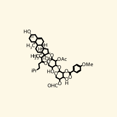 COc1ccc(C(=O)OC2C(OC3C(O)COC(O[C@H]4C[C@H]5[C@@H]6CC=C7C[C@@H](O)CC[C@]7(C)C6CC[C@]5(C)[C@@]4(O)[C@H](C)C(=O)CCC(C)C)C3OC(C)=O)OCC(OC=O)C2O)cc1